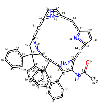 O=C(Nc1c(-c2ccccc2)c2[nH]c1cc1nc(cc3ccc(cc4nc(c2-c2ccccc2)C(c2ccccc2)(c2ccccc2)C4)[nH]3)C=C1)C(F)(F)F